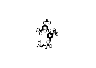 CNCCN(C)C(=O)OCc1ccc(OC2CC(OC(C)=O)CC(C(=O)OC)O2)c([N+](=O)[O-])c1